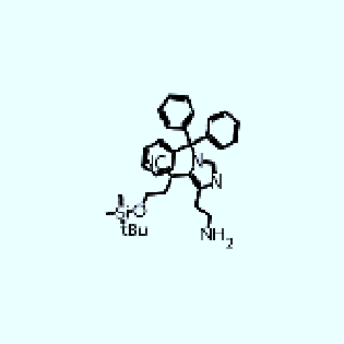 CC(C)(C)[Si](C)(C)OCCC(C#N)c1c(CCN)ncn1C(c1ccccc1)(c1ccccc1)c1ccccc1